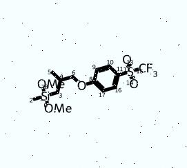 CO[Si](C)(CC(C)COc1ccc(S(=O)(=O)C(F)(F)F)cc1)OC